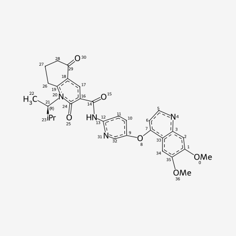 COc1cc2nccc(Oc3ccc(NC(=O)c4cc5c(n([C@H](C)C(C)C)c4=O)CCCC5=O)nc3)c2cc1OC